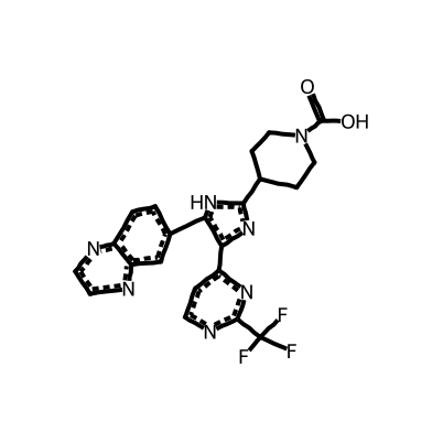 O=C(O)N1CCC(c2nc(-c3ccnc(C(F)(F)F)n3)c(-c3ccc4nccnc4c3)[nH]2)CC1